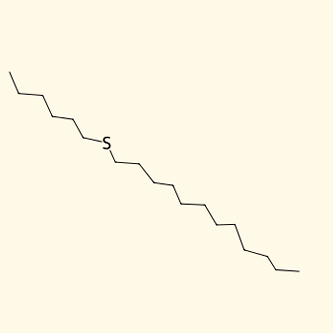 CCCCCCCCCCCCSCCCCCC